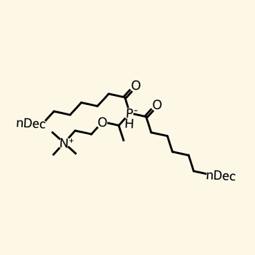 CCCCCCCCCCCCCCCC(=O)[PH-](C(=O)CCCCCCCCCCCCCCC)C(C)OCC[N+](C)(C)C